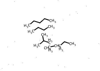 C.CC.CC(C)C.CCC.CCCC.CCCCC